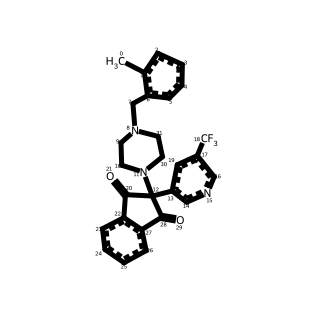 Cc1ccccc1CN1CCN(C2(c3cncc(C(F)(F)F)c3)C(=O)c3ccccc3C2=O)CC1